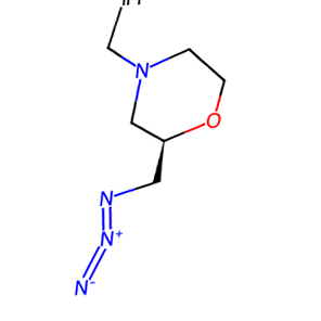 C[C](C)CN1CCO[C@@H](CN=[N+]=[N-])C1